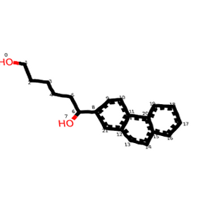 OCCCCCC(O)c1ccc2c(ccc3ccccc32)c1